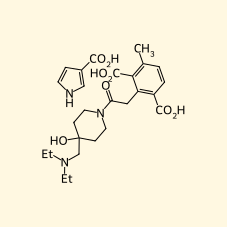 CCN(CC)CC1(O)CCN(C(=O)Cc2c(C(=O)O)ccc(C)c2C(=O)O)CC1.O=C(O)c1cc[nH]c1